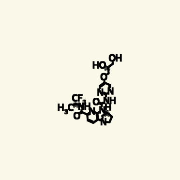 C[C@@H](NC(=O)c1ccc2c(n1)N(C(=O)Nc1ncc(OC[C@H](O)CO)cn1)[C@H]1CCN2C1)C(F)(F)F